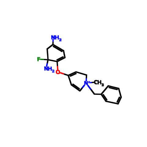 C[N+]1(Cc2ccccc2)C=CC(OC2=CC=C(N)CC2(N)F)=CC1